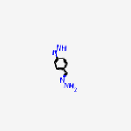 N=Nc1ccc(C=NN)cc1